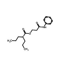 CCCN(CCC)C(=O)OCCC(=O)Nc1ccccc1